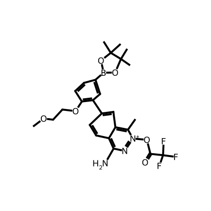 COCCOc1ccc(B2OC(C)(C)C(C)(C)O2)cc1-c1ccc2c(N)n[n+](OC(=O)C(F)(F)F)c(C)c2c1